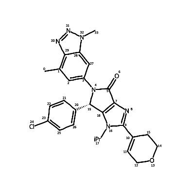 Cc1cc(N2C(=O)c3nc(C4=CCOCC4)n(C(C)C)c3[C@@H]2c2ccc(Cl)cc2)cc2c1nnn2C